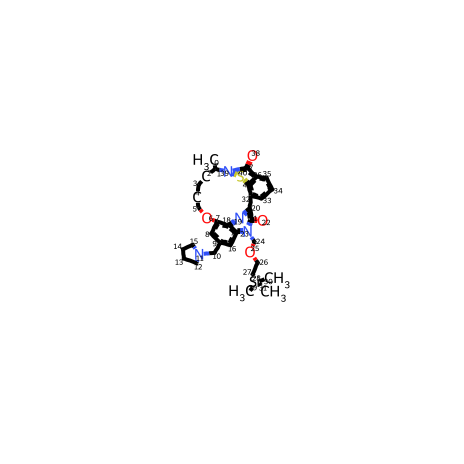 CC1CCCCOc2cc(CN3CCCC3)cc3c2nc(c(=O)n3COCC[Si](C)(C)C)-c2cccc3c(=O)n1sc23